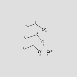 CC[O-].CC[O-].CC[O-].[Cr+3]